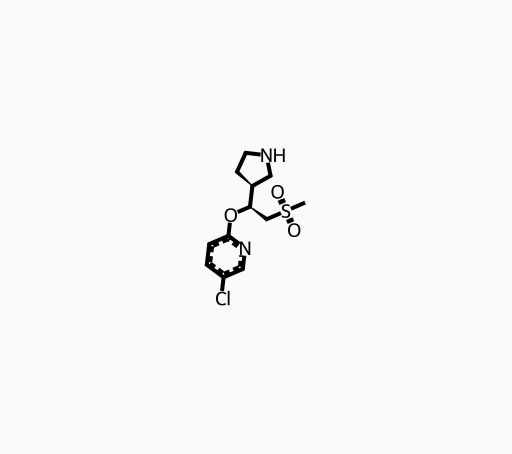 CS(=O)(=O)C[C@@H](Oc1ccc(Cl)cn1)[C@H]1CCNC1